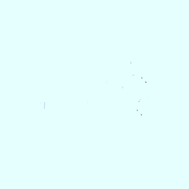 O=C(c1ccc(OCCCCl)cc1)N1CCC[C@H]1CN1CCCC1